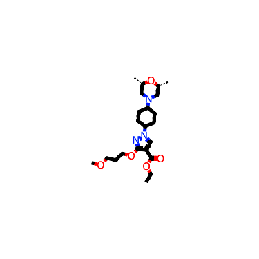 CCOC(=O)c1cn(C2CCC(N3C[C@@H](C)O[C@@H](C)C3)CC2)nc1OCCCOC